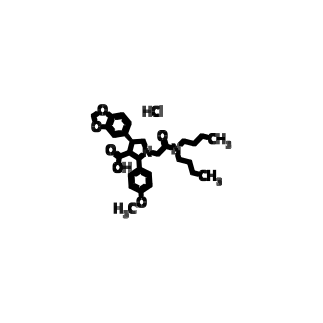 CCCCN(CCCC)C(=O)CN1C[C@H](c2ccc3c(c2)OCO3)C(C(=O)O)C1c1ccc(OC)cc1.Cl